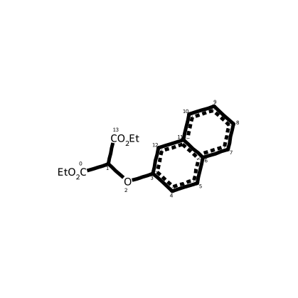 CCOC(=O)C(Oc1ccc2ccccc2c1)C(=O)OCC